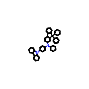 c1ccc(N(c2ccc(-n3c4ccccc4c4ccccc43)cc2)c2ccc3c(c2)C(c2ccccc2)(c2ccccc2)c2ccccc2-3)cc1